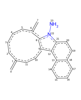 C=c1ccccc(=C)c2c(cc1)c1c3ccccc3ccc1n2N